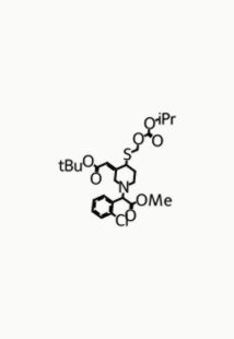 COC(=O)C(c1ccccc1Cl)N1CCC(SCOC(=O)OC(C)C)/C(=C/C(=O)OC(C)(C)C)C1